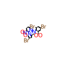 O=c1oc(-c2cc(Br)cn2-c2ncccc2[N+](=O)[O-])nc2c(Br)cc(Br)cc12